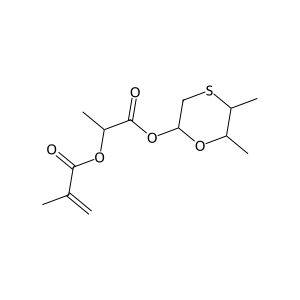 C=C(C)C(=O)OC(C)C(=O)OC1CSC(C)C(C)O1